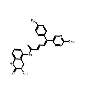 COc1ncc(C(=CC=CC(=O)Nc2cccc3c2CC(O)C(=O)N3)c2ccc(C(F)(F)F)cc2)cn1